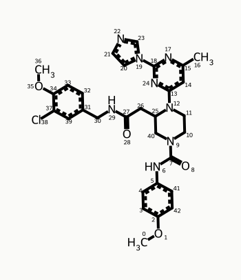 COc1ccc(NC(=O)N2CCN(c3cc(C)nc(-n4ccnc4)n3)C(CC(=O)NCc3ccc(OC)c(Cl)c3)C2)cc1